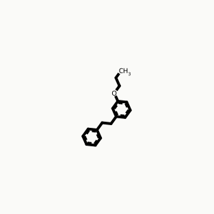 CCCOc1cccc(CCc2ccccc2)c1